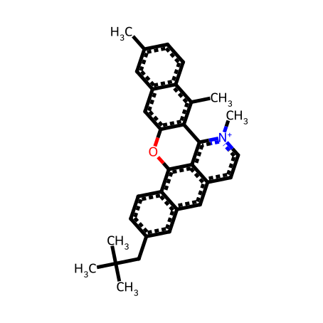 Cc1ccc2c(C)c3c(cc2c1)Oc1c2ccc(CC(C)(C)C)cc2cc2cc[n+](C)c-3c12